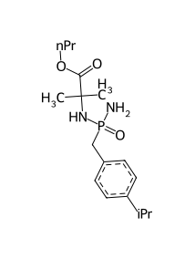 CCCOC(=O)C(C)(C)NP(N)(=O)Cc1ccc(C(C)C)cc1